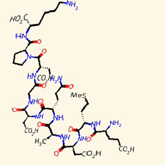 CSCC[C@H](NC(=O)[C@@H](N)CCC(=O)O)C(=O)N[C@@H](CC(=O)O)C(=O)N[C@@H](C)C(=O)N[C@@H](CCC(N)=O)C(=O)N[C@@H](CC(=O)O)C(=O)NCC(=O)N[C@@H](CC(=O)O)C(=O)N1CCC[C@H]1C(=O)N[C@@H](CCCCN)C(=O)O